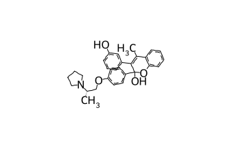 CC1=C(c2cccc(O)c2)C(O)(c2ccc(OC[C@H](C)N3CCCC3)cc2)Oc2ccccc21